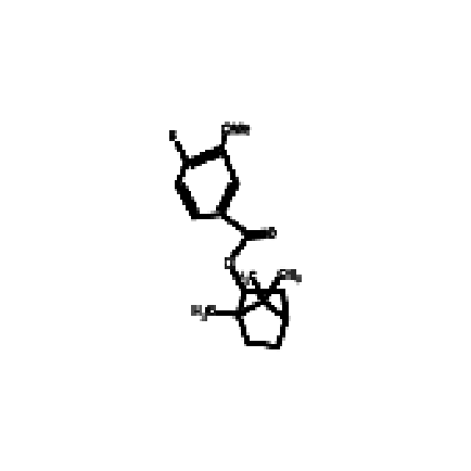 COc1cc(C(=O)OC2CC3CCC2(C)C3(C)C)ccc1F